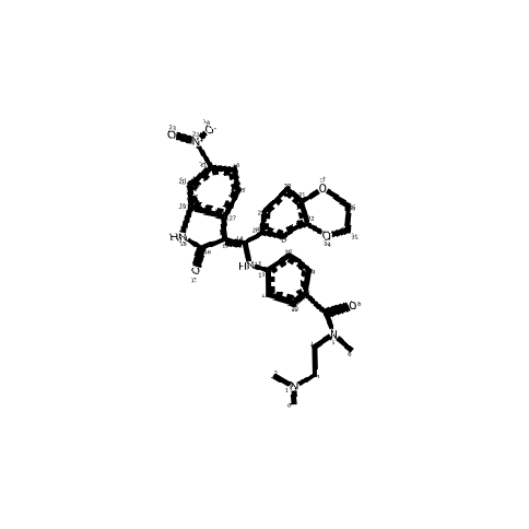 CN(C)CCN(C)C(=O)c1ccc(N/C(=C2\C(=O)Nc3cc([N+](=O)[O-])ccc32)c2ccc3c(c2)OCCO3)cc1